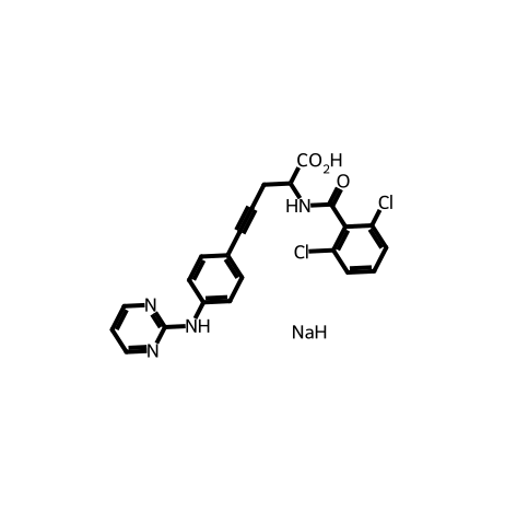 O=C(NC(CC#Cc1ccc(Nc2ncccn2)cc1)C(=O)O)c1c(Cl)cccc1Cl.[NaH]